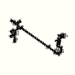 CCc1c2c(nc3cc(F)c(OCCNC(=O)[C@H](C)NC(=O)[C@H](C)NC(=O)[C@H](C)NC(=O)[C@@H](N)CCCCNC(=O)CCOCCOCCOCCOCCOCCOCCOCCOCCNC(=O)[C@H](CCCN/C(=N/C(=O)OC(C)(C)C)NC(=O)OC(C)(C)C)NC(=O)CC[C@H](NC(=O)N[C@@H](CCC(=O)OC(C)(C)C)C(=O)OC(C)(C)C)C(=O)OC(C)(C)C)cc13)-c1cc3c(c(=O)n1C2)COC(=O)[C@]3(O)CC